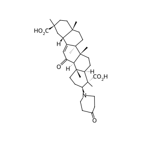 C[C@]1(C(=O)O)CC[C@]2(C)CC[C@]3(C)C(=CC(=O)[C@@H]4[C@@]5(C)CC[C@H](N6CCC(=O)CC6)[C@@](C)(C(=O)O)[C@@H]5CC[C@]43C)[C@@H]2C1